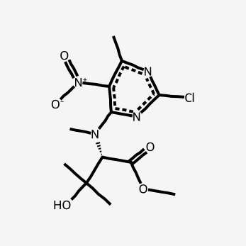 COC(=O)[C@@H](N(C)c1nc(Cl)nc(C)c1[N+](=O)[O-])C(C)(C)O